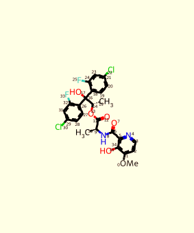 COc1ccnc(C(=O)N[C@@H](C)C(=O)O[C@@H](C)C(O)(c2ccc(Cl)cc2F)c2ccc(Cl)cc2F)c1O